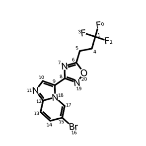 FC(F)(F)CCc1nc(-c2cnc3ccc(Br)cn23)no1